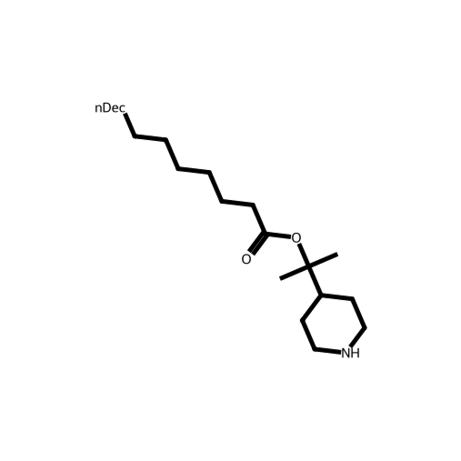 CCCCCCCCCCCCCCCCC(=O)OC(C)(C)C1CCNCC1